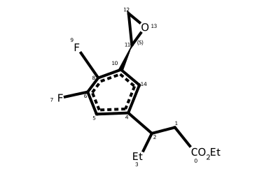 CCOC(=O)CC(CC)c1cc(F)c(F)c([C@H]2CO2)c1